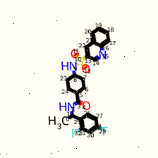 CC(NC(=O)C1CCC(NS(=O)(=O)c2cnc3ccccc3c2)CC1)c1ccc(F)cc1F